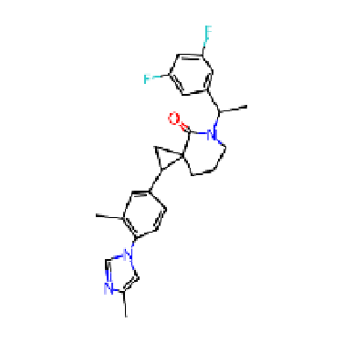 Cc1cn(-c2ccc(C3CC34CCCN(C(C)c3cc(F)cc(F)c3)C4=O)cc2C)cn1